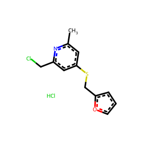 Cc1cc(SCc2ccco2)cc(CCl)n1.Cl